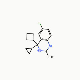 O=CC1Nc2ccc(Cl)cc2C(C2CCC2)(C2CC2)N1